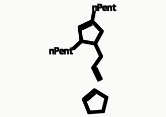 C1=CCCC1.C=CCC1CC(CCCCC)=CC1CCCCC